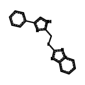 c1ccc(-c2c[nH]c(CSc3nc4ccccn4n3)n2)cc1